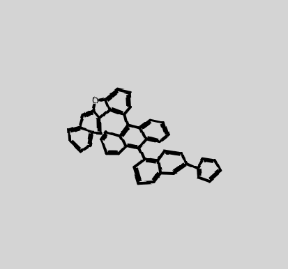 c1ccc(-c2ccc3c(-c4c5ccccc5c(-c5cccc6oc7cc8ccccc8cc7c56)c5ccccc45)cccc3c2)cc1